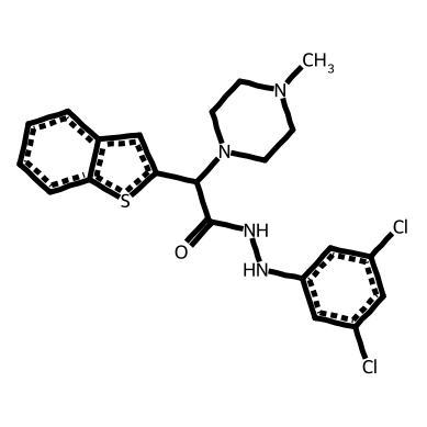 CN1CCN(C(C(=O)NNc2cc(Cl)cc(Cl)c2)c2cc3ccccc3s2)CC1